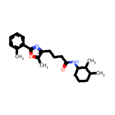 Cc1ccccc1-c1nc(CCCC(=O)NC2CCCC(C)C2C)c(C)o1